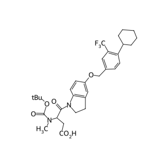 CN(C(=O)OC(C)(C)C)C(CC(=O)O)C(=O)N1CCc2cc(OCc3ccc(C4CCCCC4)c(C(F)(F)F)c3)ccc21